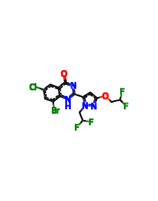 O=c1nc(-c2cc(OCC(F)F)nn2CC(F)F)[nH]c2c(Br)cc(Cl)cc12